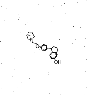 Oc1ccc2c(c1)CCCC2c1ccc(OCCN2CCCCC2)cc1